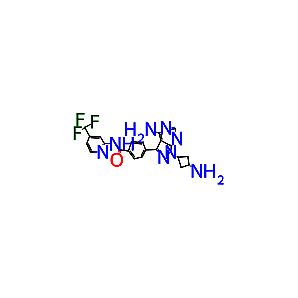 Nc1ncnc2c1c(-c1ccc(C(=O)Nc3cc(C(F)(F)F)ccn3)cc1)nn2[C@H]1C[C@@H](N)C1